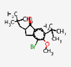 COc1c(C(C)(C)C)cc2c(c1Br)CC(CC(C)(C)C)C2=O